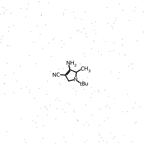 CC1C(N)=C(C#N)CN1C(C)(C)C